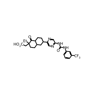 CCC1(CC(=O)O)CCC2CC(c3cnc(NC(=O)Nc4cccc(C(F)(F)F)c4)cn3)CCC2C1=O